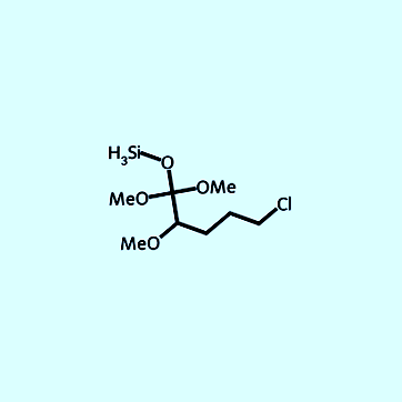 COC(CCCCl)C(OC)(OC)O[SiH3]